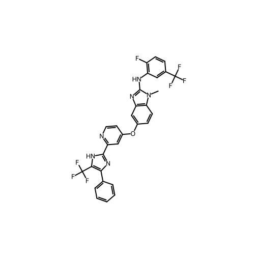 Cn1c(Nc2cc(C(F)(F)F)ccc2F)nc2cc(Oc3ccnc(-c4nc(-c5ccccc5)c(C(F)(F)F)[nH]4)c3)ccc21